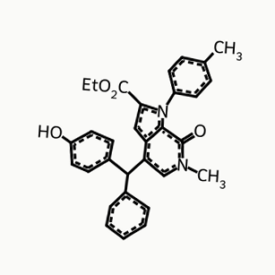 CCOC(=O)c1cc2c(C(c3ccccc3)c3ccc(O)cc3)cn(C)c(=O)c2n1-c1ccc(C)cc1